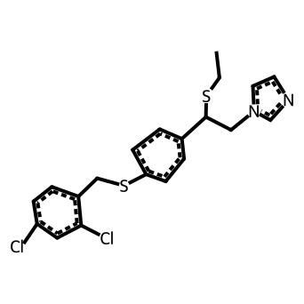 CCSC(Cn1ccnc1)c1ccc(SCc2ccc(Cl)cc2Cl)cc1